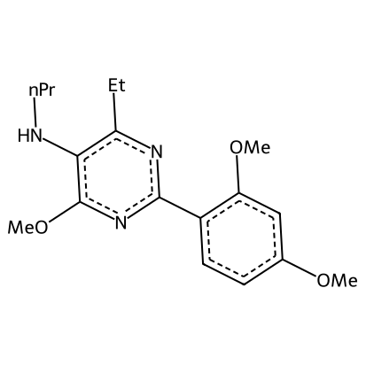 CCCNc1c(CC)nc(-c2ccc(OC)cc2OC)nc1OC